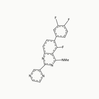 CNc1nc(-c2cnccn2)nc2ccc(-c3ccc(F)c(F)c3)c(F)c12